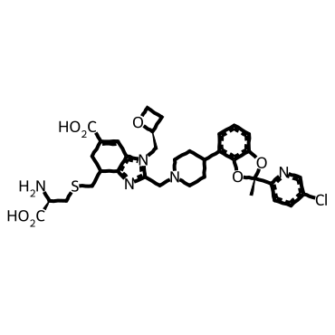 C[C@]1(c2ccc(Cl)cn2)Oc2cccc(C3CCN(Cc4nc5c(n4C[C@@H]4CCO4)C=C(C(=O)O)CC5CSC[C@H](N)C(=O)O)CC3)c2O1